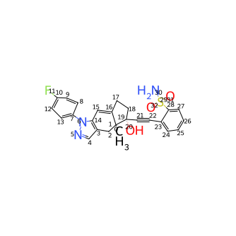 C[C@]12Cc3cnn(-c4ccc(F)cc4)c3C=C1CC[C@@]2(O)C#Cc1ccccc1S(N)(=O)=O